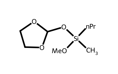 CCC[Si](C)(OC)OC1OCCO1